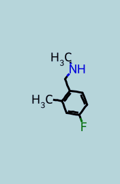 CNCc1ccc(F)cc1C